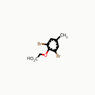 Cc1cc(Br)c(OCC(=O)O)c(Br)c1